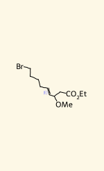 CCOC(=O)CC(/C=C/CCCCBr)OC